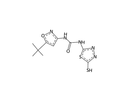 CC(C)(C)c1cc(NC(=O)Nc2nnc(S)s2)no1